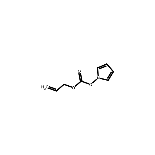 C=CCOC(=O)On1cccc1